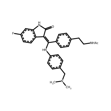 CC(=O)NCCc1ccc(C(Nc2ccc(CN(C)C)cc2)=C2C(=O)Nc3cc(F)ccc32)cc1